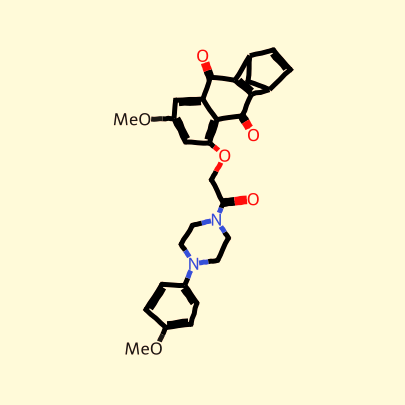 COc1ccc(N2CCN(C(=O)COc3cc(OC)cc4c3C(=O)C3=C(C4=O)C4C=CC3C4)CC2)cc1